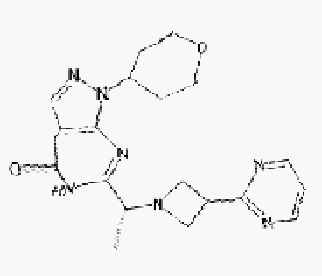 C[C@H](c1nc2c(cnn2C2CCOCC2)c(=O)[nH]1)N1CC(c2ncccn2)C1